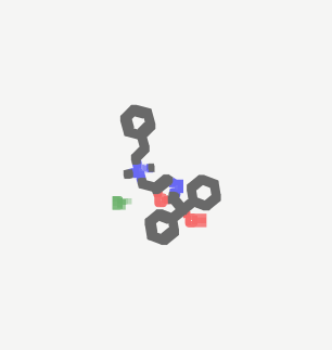 C[N+](C)(CCc1ccccc1)Cc1cnc([C@@](O)(c2ccccc2)C2CCCCC2)o1.[Br-]